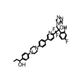 CCC(O)c1ccc(N2CCN(c3ccc(-c4ccc(C(F)(F)C(O)(Cn5cnnn5)c5ccc(F)cc5F)nc4)cc3)CC2)cc1